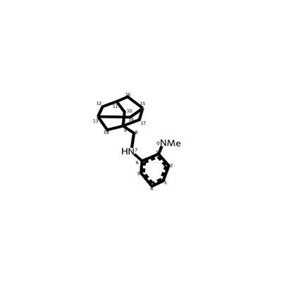 CNc1ccccc1NCC12CC3CC(CC(C3)C1)C2